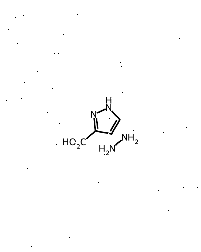 NN.O=C(O)c1cc[nH]n1